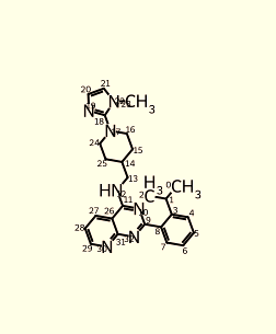 CC(C)c1ccccc1-c1nc(NCC2CCN(c3nccn3C)CC2)c2cccnc2n1